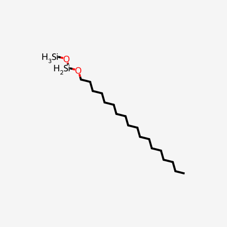 CCCCCCCCCCCCCCCCCCO[SiH2]O[SiH3]